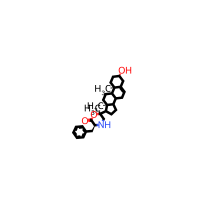 C[C@]12CCC3C(CC=C4C[C@H](O)CC[C@@]43C)C1CCC2[C@]1(C)CN[C@@H](Cc2ccccc2)C(=O)O1